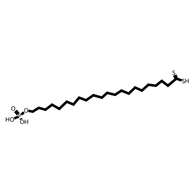 O=P(O)(O)OCCCCCCCCCCCCCCCCCCCCCC(=S)S